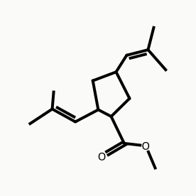 COC(=O)C1CC(C=C(C)C)CC1C=C(C)C